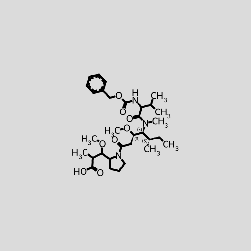 CC[C@H](C)[C@@H]([C@@H](CC(=O)N1CCCC1C(OC)C(C)C(=O)O)OC)N(C)C(=O)C(NC(=O)OCc1ccccc1)C(C)C